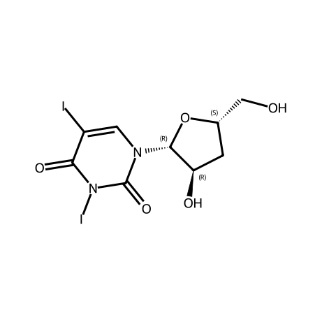 O=c1c(I)cn([C@@H]2O[C@H](CO)C[C@H]2O)c(=O)n1I